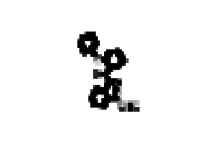 O=CNc1ccccc1C(=O)Nc1ccccc1Oc1ccccc1